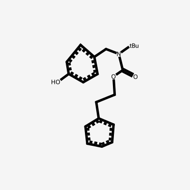 CC(C)(C)N(Cc1ccc(O)cc1)C(=O)OCCc1ccccc1